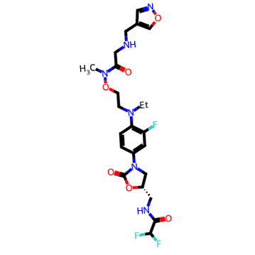 CCN(CCON(C)C(=O)CNCc1cnoc1)c1ccc(N2C[C@H](CNC(=O)C(F)F)OC2=O)cc1F